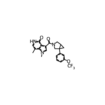 Cc1c[nH]c(=O)c2c(C(=O)N3CC4CC4(c4cccc(OC(F)(F)F)c4)C3)cn(C)c12